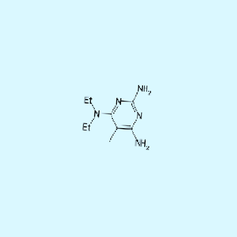 CCN(CC)c1nc(N)nc(N)c1C